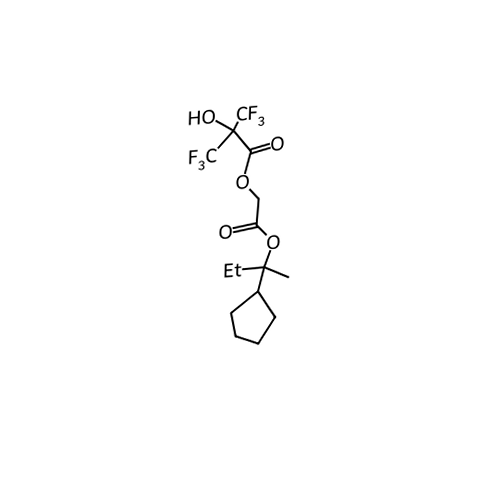 CCC(C)(OC(=O)COC(=O)C(O)(C(F)(F)F)C(F)(F)F)C1CCCC1